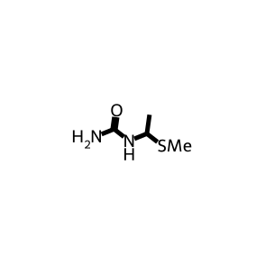 CSC(C)NC(N)=O